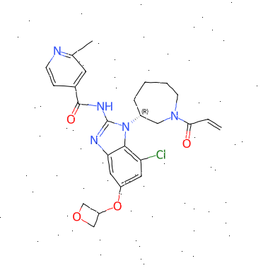 C=CC(=O)N1CCCC[C@@H](n2c(NC(=O)c3ccnc(C)c3)nc3cc(OC4COC4)cc(Cl)c32)C1